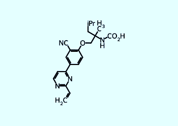 C=Cc1nccc(-c2ccc(OCC(C)(CC(C)C)NC(=O)O)c(C#N)c2)n1